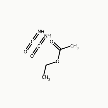 CCOC(C)=O.N=C=O.N=C=O